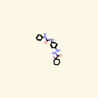 O=C(Nc1ccccc1)Nc1ccc(NNC(=O)C2(I)CCCCC2)cc1